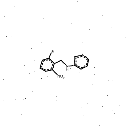 O=[N+]([O-])c1cccc(Br)c1CNc1cccnc1